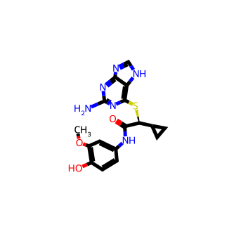 COc1cc(NC(=O)[C@@H](Sc2nc(N)nc3nc[nH]c23)C2CC2)ccc1O